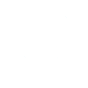 CN(C)CCOc1cc(Nc2nc3cc(Oc4ccnc(C(=O)O)c4)ccc3o2)ccc1Cl